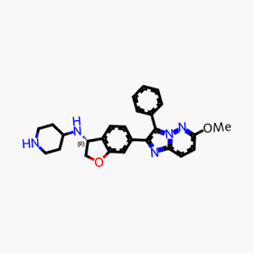 COc1ccc2nc(-c3ccc4c(c3)OC[C@@H]4NC3CCNCC3)c(-c3ccccc3)n2n1